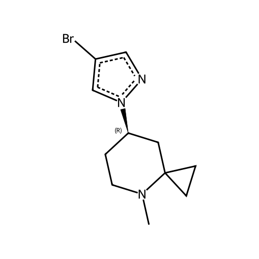 CN1CC[C@@H](n2cc(Br)cn2)CC12CC2